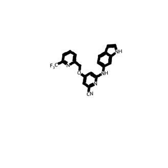 N#Cc1cc(OCc2cccc(C(F)(F)F)n2)cc(Nc2ccc3cc[nH]c3c2)n1